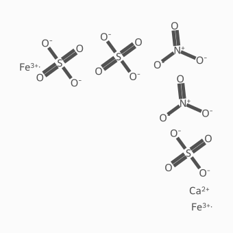 O=S(=O)([O-])[O-].O=S(=O)([O-])[O-].O=S(=O)([O-])[O-].O=[N+]([O-])[O-].O=[N+]([O-])[O-].[Ca+2].[Fe+3].[Fe+3]